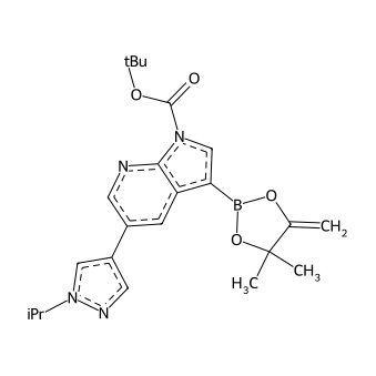 C=C1OB(c2cn(C(=O)OC(C)(C)C)c3ncc(-c4cnn(C(C)C)c4)cc23)OC1(C)C